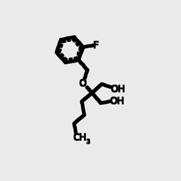 CCCCC(CO)(CO)OCc1ccccc1F